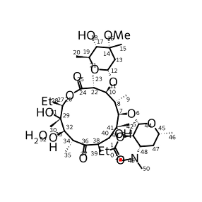 CCC(=O)O[C@H]1[C@H](O[C@@H]2[C@@H](C)[C@H](O[C@H]3C[C@@](C)(OC)[C@@H](O)[C@H](C)O3)[C@@H](C)C(=O)O[C@H](CC)[C@@](C)(O)[C@H](O)[C@@H](C)C(=O)[C@H](C)C[C@@]2(C)O)O[C@H](C)C[C@@H]1N(C)C.O